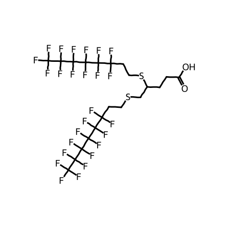 O=C(O)CCC(CSCCC(F)(F)C(F)(F)C(F)(F)C(F)(F)C(F)(F)C(F)(F)F)SCCC(F)(F)C(F)(F)C(F)(F)C(F)(F)C(F)(F)C(F)(F)F